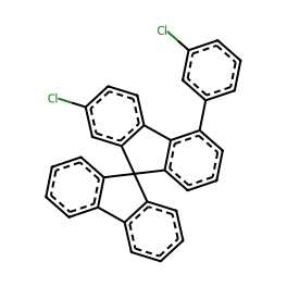 Clc1cccc(-c2cccc3c2-c2ccc(Cl)cc2C32c3ccccc3-c3ccccc32)c1